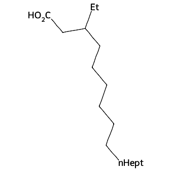 CCCCCCCCCCCCCC(CC)CC(=O)O